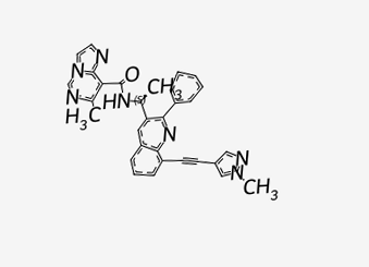 Cc1ncn2ccnc2c1C(=O)N[C@@H](C)c1cc2cccc(C#Cc3cnn(C)c3)c2nc1-c1ccccc1